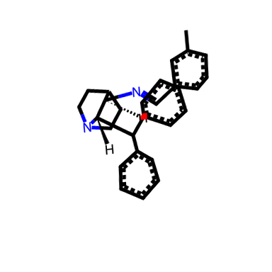 Cc1cccc(/C=N/[C@@H]2C3CCN(CC3)[C@H]2C(c2ccccc2)c2ccccc2)c1